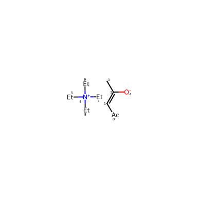 CC(=O)/C=C(/C)[O-].CC[N+](CC)(CC)CC